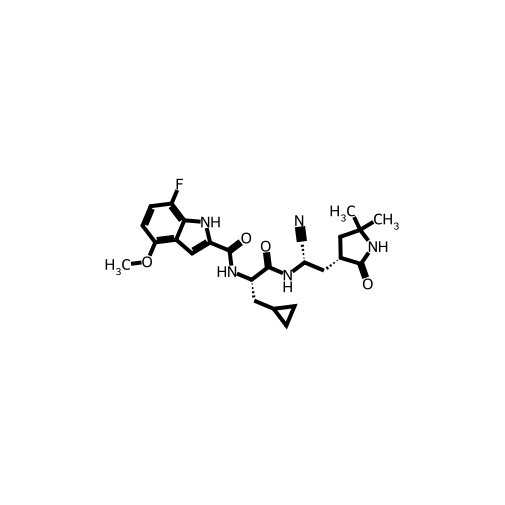 COc1ccc(F)c2[nH]c(C(=O)N[C@@H](CC3CC3)C(=O)N[C@H](C#N)C[C@@H]3CC(C)(C)NC3=O)cc12